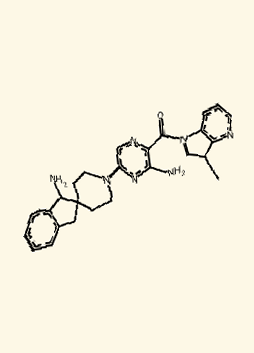 CC1CN(C(=O)c2ncc(N3CCC4(CC3)Cc3ccccc3C4N)nc2N)c2cccnc21